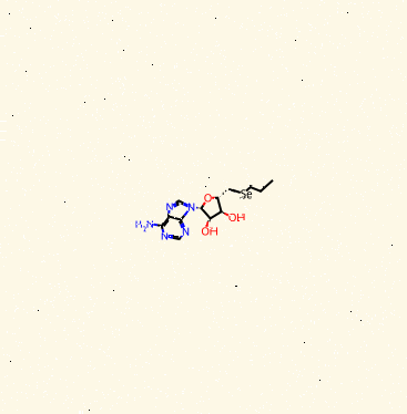 CCC[Se]C[C@H]1O[C@@H](n2cnc3c(N)ncnc32)[C@H](O)[C@@H]1O